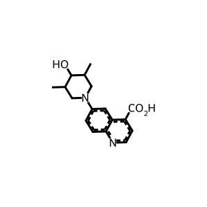 CC1CN(c2ccc3nccc(C(=O)O)c3c2)CC(C)C1O